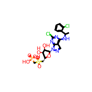 CC(Nc1nc(Cl)nc2c1cnn2[C@@H]1O[C@H](CS(=O)(=O)CP(=O)(O)O)[C@@H](O)[C@H]1O)c1ccccc1Cl